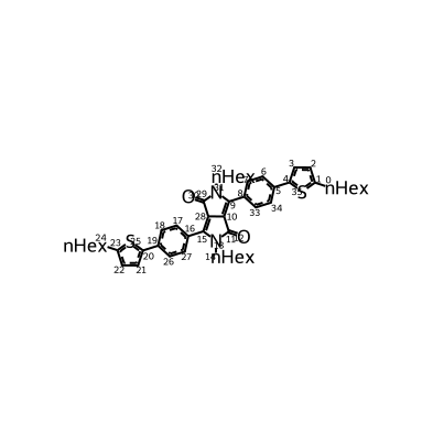 CCCCCCc1ccc(-c2ccc(C3=C4C(=O)N(CCCCCC)C(c5ccc(-c6ccc(CCCCCC)s6)cc5)=C4C(=O)N3CCCCCC)cc2)s1